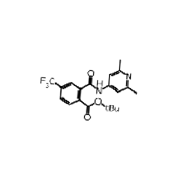 Cc1cc(NC(=O)c2cc(C(F)(F)F)ccc2C(=O)OC(C)(C)C)cc(C)n1